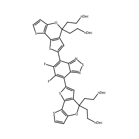 CCCCCCCCCCCCC1(CCCCCCCCCCCC)Oc2ccsc2-c2sc(-c3c(F)c(F)c(-c4cc5c(s4)-c4sccc4OC5(CCCCCCCCCCCC)CCCCCCCCCCCC)c4nsnc34)cc21